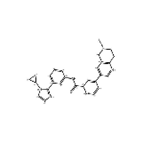 CC(C)N1CCc2ncc(C3=CC(C(=O)Nc4cccc(-c5nncn5C5CC5)c4)NC=C3)cc2C1